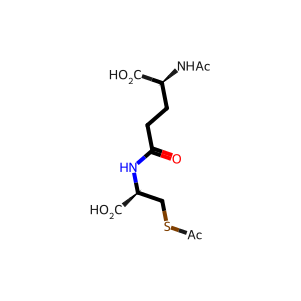 CC(=O)N[C@@H](CCC(=O)N[C@@H](CSC(C)=O)C(=O)O)C(=O)O